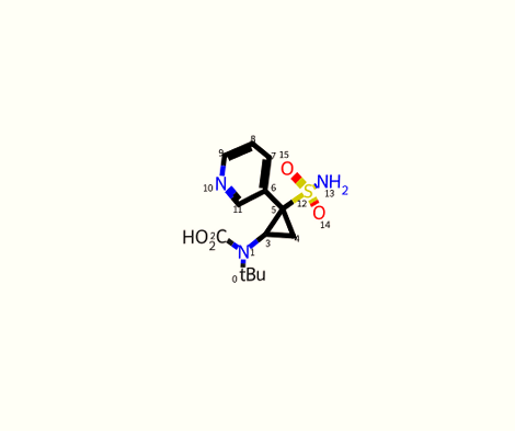 CC(C)(C)N(C(=O)O)C1CC1(c1cccnc1)S(N)(=O)=O